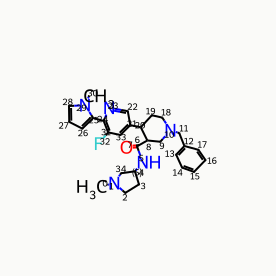 CN1CC[C@H](NC(=O)C2CN(Cc3ccccc3)CCC2c2cnc(-c3cccn3C)c(F)c2)C1